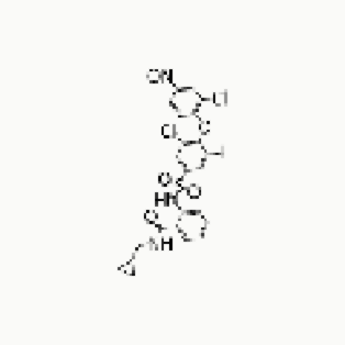 O=Nc1ccc(Oc2c(Cl)cc(S(=O)(=O)Nc3ccccc3C(=O)NCC3CC3)cc2I)c(Cl)c1